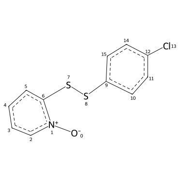 [O-][n+]1ccccc1SSc1ccc(Cl)cc1